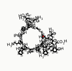 CC(C)C[C@@H]1NC(=O)[C@H](CCCCN)NC(=O)[C@H](Cc2c[nH]c3ccccc23)NC(=O)[C@H](CC(C)C)NC(=O)[C@H](CC(N)=O)NC(=O)[C@](C)(NN[C@@H](Cc2ccccc2)C(=O)N[C@@H](Cc2ccc(O)cc2)C(=O)N[C@@H](CCC(=O)O)C(=O)C(=O)[C@H](CCC(N)=O)NC(=O)[C@@H](N)CO)CCCCCCC=CCCC[C@@](C)(C(=O)N[C@@H](CCC(N)=O)C(=O)N[C@@H](CC(=O)O)C(N)=O)NC(=O)[C@H](CC(C)C)NC1=O